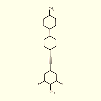 CC1CCC(C2CCC(C#CC3CC(F)C(C)C(F)C3)CC2)CC1